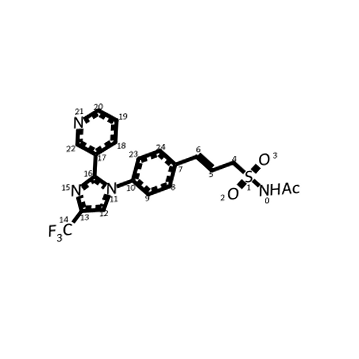 CC(=O)NS(=O)(=O)CC=Cc1ccc(-n2cc(C(F)(F)F)nc2-c2cccnc2)cc1